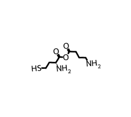 NCCCC(=O)OC(=O)[C@H](N)CCS